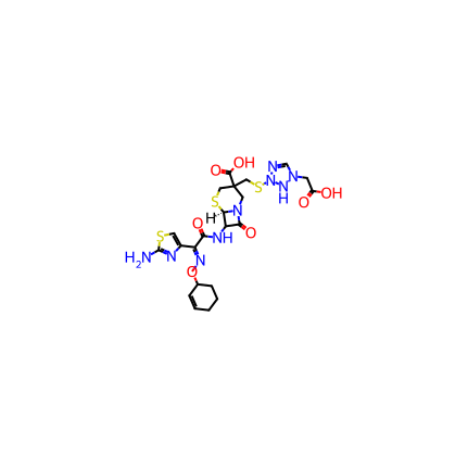 Nc1nc(C(=NOC2C=CCCC2)C(=O)NC2C(=O)N3CC(CSN4N=CN(CC(=O)O)N4)(C(=O)O)CS[C@H]23)cs1